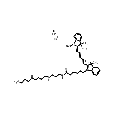 CCCCN1/C(=C/C=C/C=C/C2=[N+](CCCCCC(=O)NCCCNCCCCNCCCN)c3ccccc3C2(C)C)C(C)(C)c2ccccc21.Cl.Cl.Cl.[Br-]